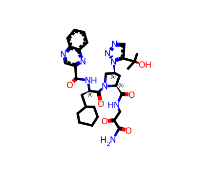 CC(C)(O)c1cnnn1[C@H]1C[C@@H](C(=O)NCC(=O)C(N)=O)N(C(=O)[C@@H](CC2CCCCC2)NC(=O)c2cnc3ccccc3n2)C1